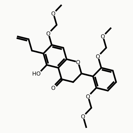 C=CCc1c(OCOC)cc2c(c1O)C(=O)CC(c1c(OCOC)cccc1OCOC)O2